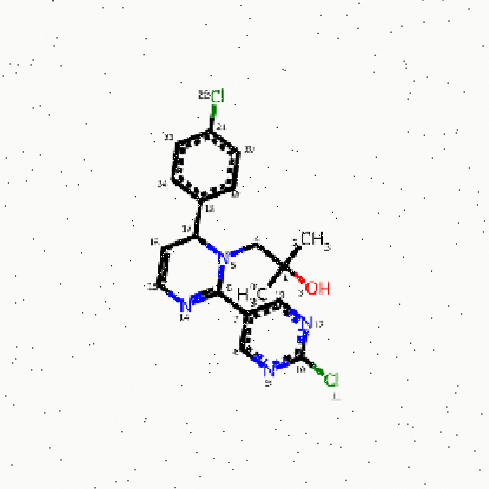 CC(C)(O)CN1C(c2cnc(Cl)nc2)=NC=CC1c1ccc(Cl)cc1